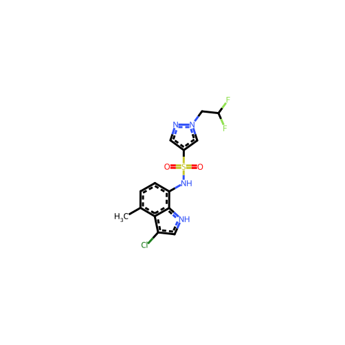 Cc1ccc(NS(=O)(=O)c2cnn(CC(F)F)c2)c2[nH]cc(Cl)c12